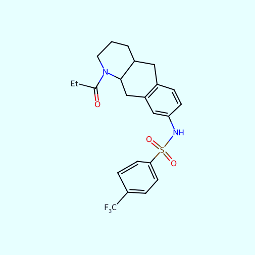 CCC(=O)N1CCCC2Cc3ccc(NS(=O)(=O)c4ccc(C(F)(F)F)cc4)cc3CC21